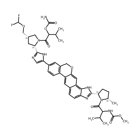 COC(=O)NC(C(=O)N1[C@@H](C)CC[C@H]1c1nc2ccc3cc4c(cc3c2[nH]1)OCc1cc(-c2cnc([C@@H]3C[C@H](COC(F)F)CN3C(=O)C(OC(N)=O)C(C)C)[nH]2)ccc1-4)C(C)C